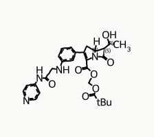 C[C@@H](O)[C@H]1C(=O)N2C(C(=O)OCOC(=O)C(C)(C)C)=C(c3cccc(NCC(=O)Nc4ccncc4)c3)C[C@H]12